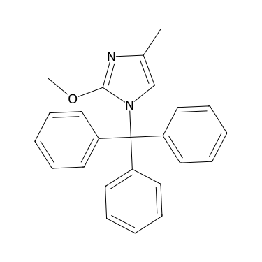 COc1nc(C)cn1C(c1ccccc1)(c1ccccc1)c1ccccc1